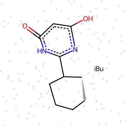 CC[C@H](C)[C@@H]1CCCCC1c1nc(O)cc(=O)[nH]1